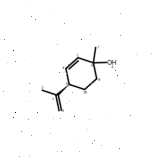 C=C(C)[C@H]1C=CC(C)(O)CC1